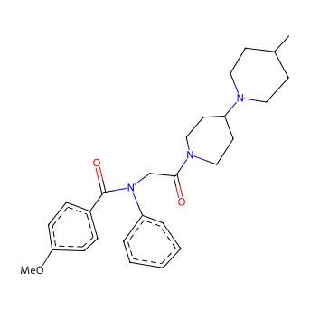 COc1ccc(C(=O)N(CC(=O)N2CCC(N3CCC(C)CC3)CC2)c2ccccc2)cc1